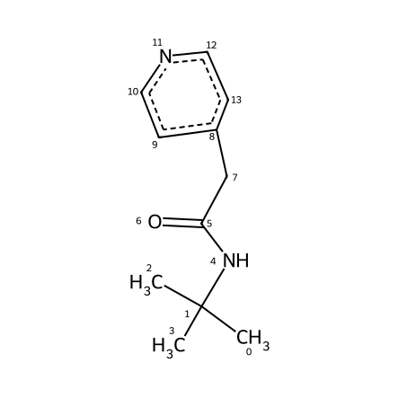 CC(C)(C)NC(=O)Cc1ccncc1